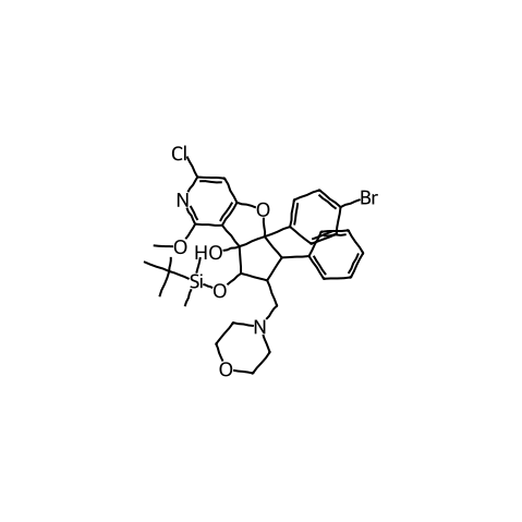 COc1nc(Cl)cc2c1C1(O)C(O[Si](C)(C)C(C)(C)C)C(CN3CCOCC3)C(c3ccccc3)C1(c1ccc(Br)cc1)O2